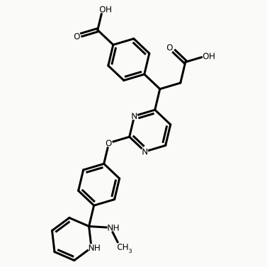 CNC1(c2ccc(Oc3nccc(C(CC(=O)O)c4ccc(C(=O)O)cc4)n3)cc2)C=CC=CN1